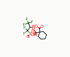 O=C(O)C1(C(=O)OC(C(F)(F)F)C(F)(F)S(=O)(=O)O)CCCCC1